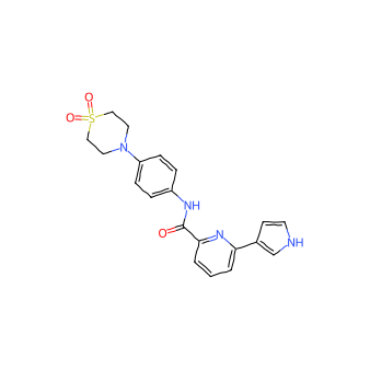 O=C(Nc1ccc(N2CCS(=O)(=O)CC2)cc1)c1cccc(-c2cc[nH]c2)n1